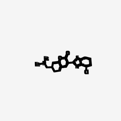 CCN(CC)CC1C=c2oc(=O)c(-c3nc4c(Cl)cccc4s3)cc2=CC1